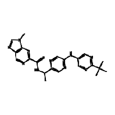 CC(NC(=O)c1cc2c(cn1)ncn2C)c1cnc(Nc2cnc(C(C)(C)C)nc2)cn1